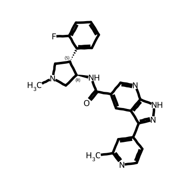 Cc1cc(-c2n[nH]c3ncc(C(=O)N[C@H]4CN(C)C[C@@H]4c4ccccc4F)cc23)ccn1